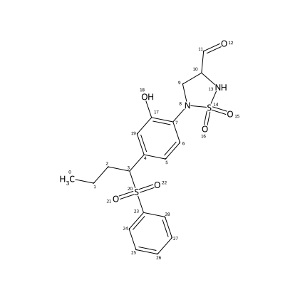 CCCC(c1ccc(N2CC(C=O)NS2(=O)=O)c(O)c1)S(=O)(=O)c1ccccc1